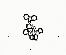 O=P(c1cccc(-n2c3c(c4ccccc42)C=CCC3)n1)(n1c2ccccc2c2ccccc21)n1c2ccccc2c2ccccc21